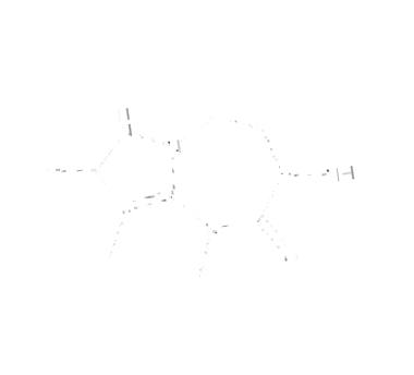 CC1=C2N(CCC(N)C(=O)N2C)NC1C